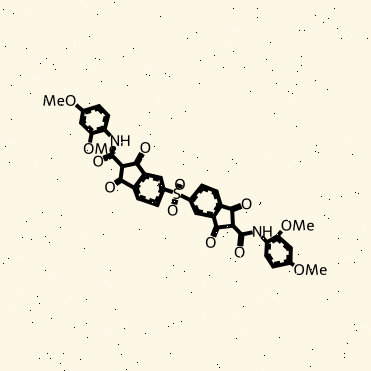 COc1ccc(NC(=O)C2C(=O)c3ccc(S(=O)(=O)c4ccc5c(c4)C(=O)C(C(=O)Nc4ccc(OC)cc4OC)C5=O)cc3C2=O)c(OC)c1